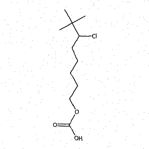 CC(C)(C)C(Cl)CCCCCOC(=O)O